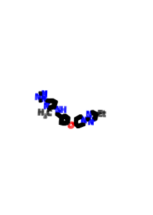 CCc1cnc(N2CCC(Oc3ccc(CNc4ccc(-n5cncn5)nc4C)cc3)CC2)nc1